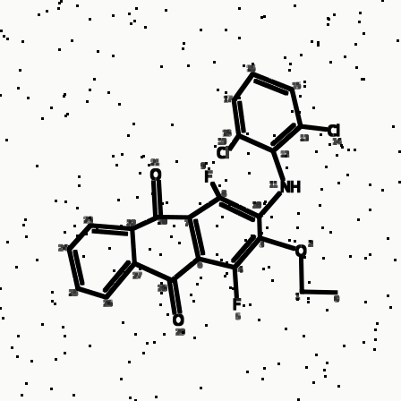 CCOc1c(F)c2c(c(F)c1Nc1c(Cl)cccc1Cl)C(=O)c1ccccc1C2=O